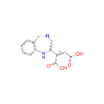 O=C(O)/C=C(\C(=O)O)C1=CN=Cc2ccccc2N1